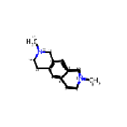 CN1CCc2cc3c(cc2C1)CN(C)CC3